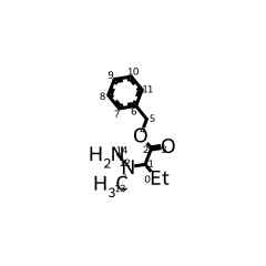 CCC(C(=O)OCc1ccccc1)N(C)N